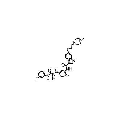 Cc1ccc([C@H](C)NC(=O)Nc2cccc(F)c2)cc1NC(=O)c1cnc2cc(OCCN3CCN(C)CC3)ccn12